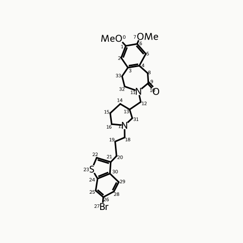 COc1cc2c(cc1OC)CC(=O)N(CC1CCCN(CCCc3csc4cc(Br)ccc34)C1)CC2